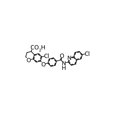 O=C(Nc1ccc2cc(Cl)ccc2n1)c1ccc(Oc2cc3c(cc2Cl)C(C(=O)O)CCO3)cc1